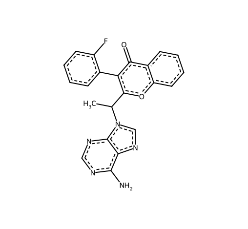 CC(c1oc2ccccc2c(=O)c1-c1ccccc1F)n1cnc2c(N)ncnc21